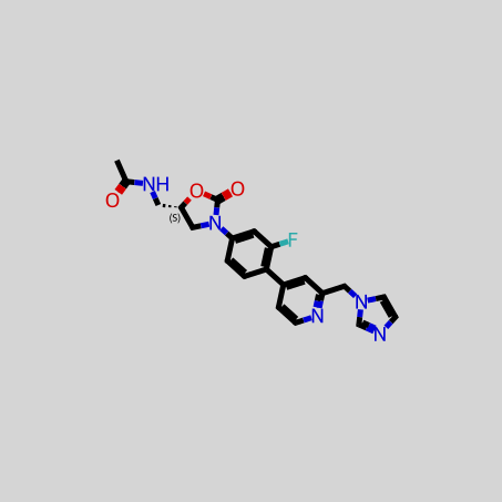 CC(=O)NC[C@H]1CN(c2ccc(-c3ccnc(Cn4ccnc4)c3)c(F)c2)C(=O)O1